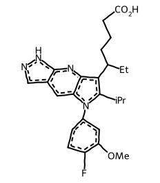 CCC(CCCC(=O)O)c1c(C(C)C)n(-c2ccc(F)c(OC)c2)c2cc3cn[nH]c3nc12